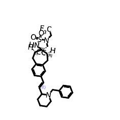 O=S1(=O)N[C@@]2(CN1CC(F)(F)F)[C@@H]1CC[C@H]2Cc2ccc(/C=C/C3CCCCN3Cc3ccccc3)cc2C1